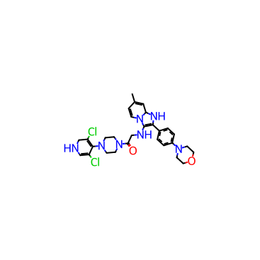 CC1=CC2NC(c3ccc(N4CCOCC4)cc3)=C(NCC(=O)N3CCN(C4=C(Cl)CNC=C4Cl)CC3)N2C=C1